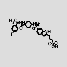 C[C@@H](NC(=O)C1CCC(NS(=O)(=O)c2ccc3cc(CCCS(=O)(=O)O)[nH]c3c2)CC1)c1ccc(F)cc1